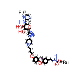 CC(C)(C)OC(=O)NCCc1ccc(Oc2ccc(OCCCCN3CCC(n4cc([C@H]5OC[C@H](Nc6cncc(C(F)(F)F)n6)[C@@H](O)[C@H]5O)nn4)CC3)cc2)c(I)c1